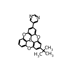 CC(C)(C)c1cc2c3c(c1)Oc1cc(-c4cncnc4)cc4c1B3c1c(cccc1O2)O4